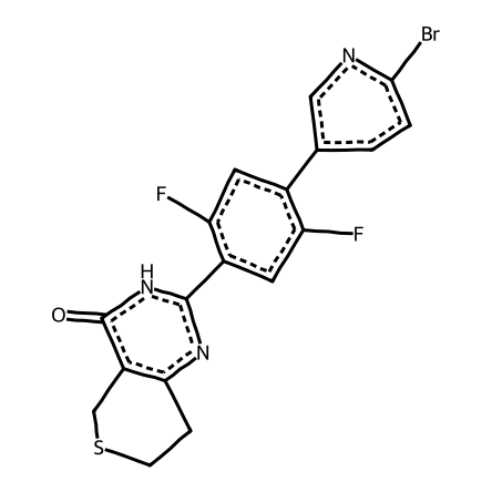 O=c1[nH]c(-c2cc(F)c(-c3ccc(Br)nc3)cc2F)nc2c1CSCC2